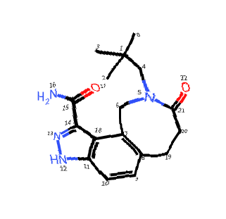 CC(C)(C)CN1Cc2c(ccc3[nH]nc(C(N)=O)c23)C[CH]C1=O